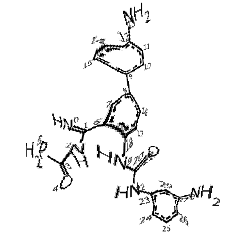 N=C(NC(=O)P)c1cc(-c2ccc(N)cc2)ccc1NC(=O)Nc1cccc(N)c1